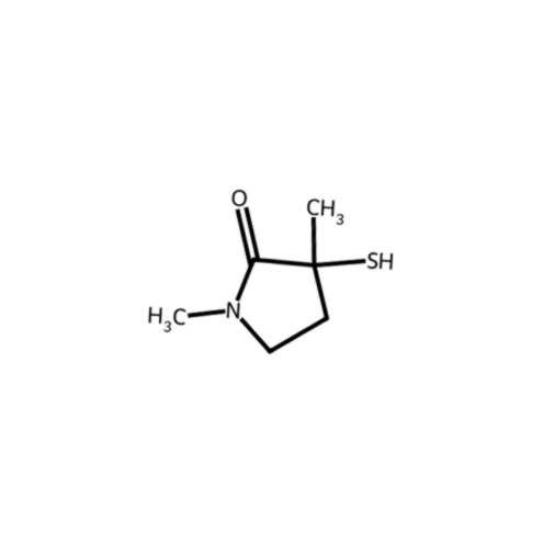 CN1CCC(C)(S)C1=O